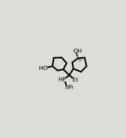 CCCPC(CC)(C1CCCC(O)C1)C1CCC[C@H](O)C1